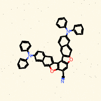 N#Cc1cc2oc3cc4cc(N(c5ccccc5)c5ccccc5)ccc4cc3c2c2c1oc1cc3cc(N(c4ccccc4)c4ccccc4)ccc3cc12